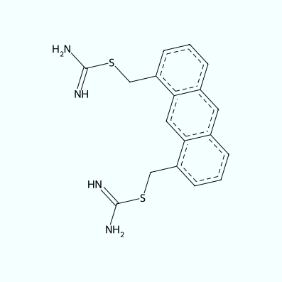 N=C(N)SCc1cccc2cc3cccc(CSC(=N)N)c3cc12